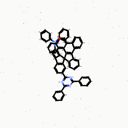 c1ccc(-c2nc(-c3ccccc3)nc(-c3ccc4c(c3)C3(c5cc(N(c6ccccc6)c6ccccc6)ccc5-4)c4ccccc4-c4c3c3c5ccccc5ccc3c3ccccc43)n2)cc1